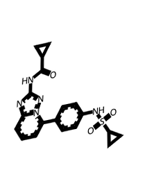 O=C(Nc1nc2cccc(-c3ccc(NS(=O)(=O)C4CC4)cc3)n2n1)C1CC1